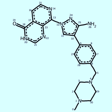 CN1CCN(Cc2ccc(-c3cn(-c4nccc5c(=O)[nH]cnc45)nc3N)cc2)CC1